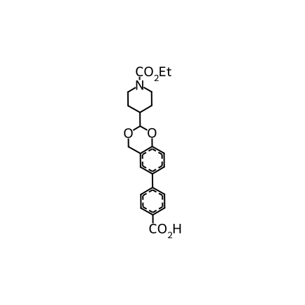 CCOC(=O)N1CCC(C2OCc3cc(-c4ccc(C(=O)O)cc4)ccc3O2)CC1